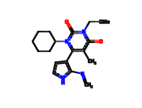 C=Nc1[nH]ccc1-c1c(C)c(=O)n(COC)c(=O)n1C1CCCCC1